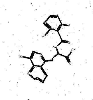 O=C(NC(Cc1ncc(Br)c2ncccc12)C(=O)O)c1c(F)cccc1F